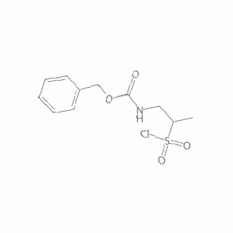 CC(CNC(=O)OCc1ccccc1)S(=O)(=O)Cl